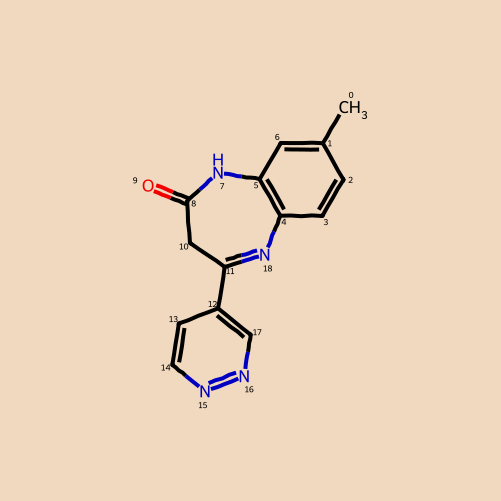 Cc1ccc2c(c1)NC(=O)CC(c1ccnnc1)=N2